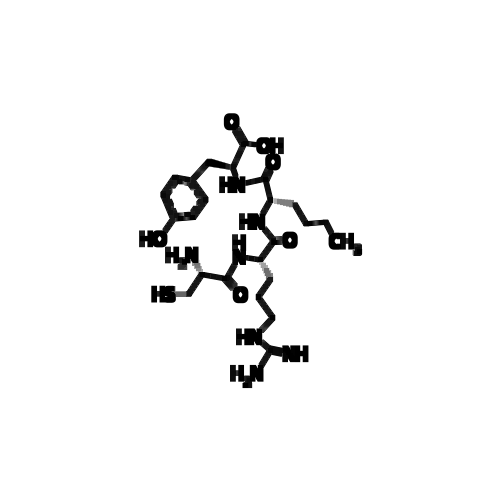 CCCC[C@H](NC(=O)[C@H](CCCNC(=N)N)NC(=O)[C@@H](N)CS)C(=O)N[C@@H](Cc1ccc(O)cc1)C(=O)O